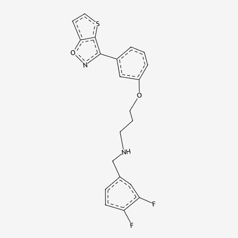 Fc1ccc(CNCCCOc2cccc(-c3noc4ccsc34)c2)cc1F